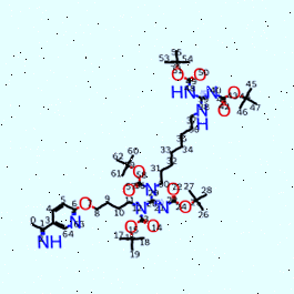 CC(=N)c1ccc(OCCCCN(C(=O)OC(C)(C)C)/C(=N/C(=O)OC(C)(C)C)N(CCCCCCCCN/C(=N\C(=O)OC(C)(C)C)NC(=O)OC(C)(C)C)C(=O)OC(C)(C)C)nc1